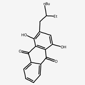 CCCCC(CC)Cc1cc(O)c2c(c1O)C(=O)c1ccccc1C2=O